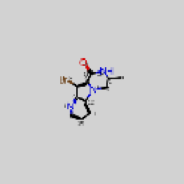 C[C@H]1Cn2c(c(Br)c3ncccc32)C(=O)N1